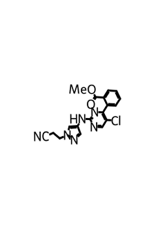 COC(=O)c1ccccc1-c1nc(Nc2cnn(CCC#N)c2)ncc1Cl